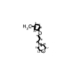 Cc1cccc(O/C=C/CN2CCOCC2)c1